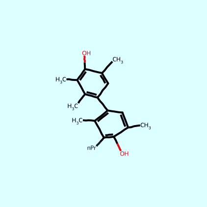 CCCc1c(C)c(-c2cc(C)c(O)c(C)c2C)cc(C)c1O